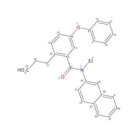 CCN(C(=O)c1cc(Oc2ccccc2)ccc1CCC(=O)O)c1ccc2ccccc2c1